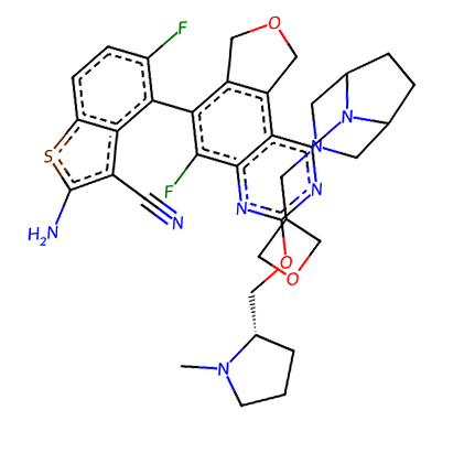 CN1CCC[C@H]1COc1nc(N2C3CCC2CN(CC2COC2)C3)c2c3c(c(-c4c(F)ccc5sc(N)c(C#N)c45)c(F)c2n1)COC3